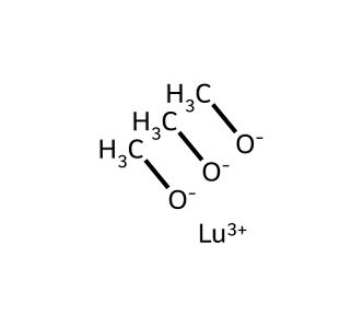 C[O-].C[O-].C[O-].[Lu+3]